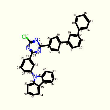 Clc1nc(-c2ccc(-c3cccc(-c4ccccc4)c3)cc2)nc(-c2cccc(-n3c4ccccc4c4ccccc43)c2)n1